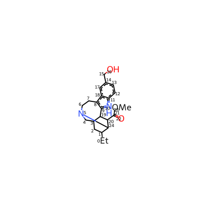 CCC1CC2CN3CCc4c([nH]c5ccc(CO)cc45)C2C(C(=O)OC)C13